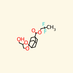 CC(F)(F)COC(=O)C12CC3CC(C1)C1(OCC(CO)O1)C(C3)C2